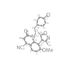 COc1ccc2c(C#N)c(C)c(=O)n(CCc3ccc(Cl)cc3)c2c1-c1c(C)noc1C